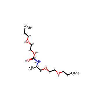 COCCOCCOC[C@H](NC(=O)OCCOCCOC)C(C)=O